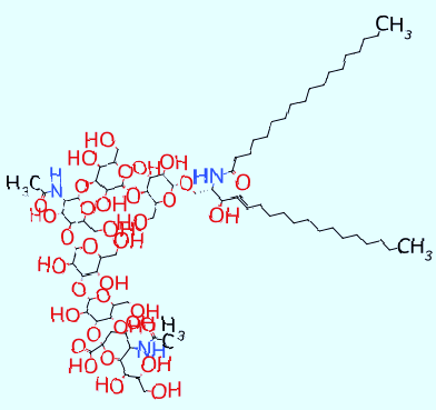 CCCCCCCCCCCCC/C=C/[C@@H](O)[C@H](CO[C@@H]1OC(CO)[C@@H](O[C@@H]2OC(CO)[C@H](O)[C@H](O[C@@H]3OC(CO)[C@@H](O[C@@H]4OC(CO)[C@H](O)[C@H](O[C@@H]5OC(CO)[C@H](O)[C@H](O[C@]6(C(=O)O)CC(O)[C@@H](NC(C)=O)C([C@H](O)[C@H](O)CO)O6)C5O)C4O)[C@H](O)C3NC(C)=O)C2O)[C@H](O)C1O)NC(=O)CCCCCCCCCCCCCCCCC